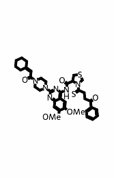 COc1cc2nc(N3CCN(C(=O)C=C4CCCCC4)CC3)nc(NC(=O)C3CSCN3C(=S)CCC(=O)c3ccccc3)c2cc1OC